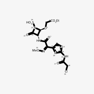 CCOC(=O)CO[C@H]1[C@H](NC(=O)C(=NOC)c2csc(NC(=O)CCl)n2)C(=O)N1S(=O)(=O)O